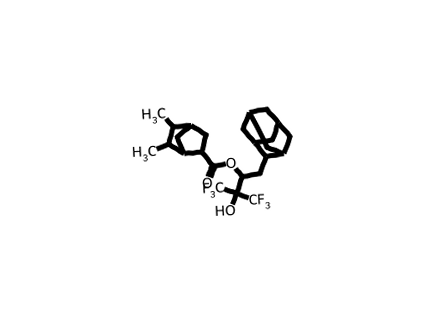 CC1C2CC(C(=O)OC(CC3C4CC5CC(C4)CC3C5)C(O)(C(F)(F)F)C(F)(F)F)C(C2)C1C